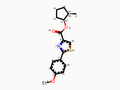 CCOc1ccc(-c2nc(C(=O)O[C@H]3CCC[C@H]3C)cs2)cc1